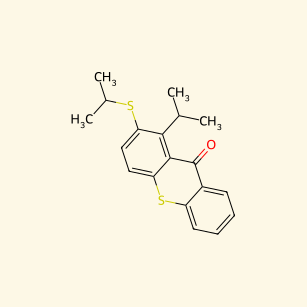 CC(C)Sc1ccc2sc3ccccc3c(=O)c2c1C(C)C